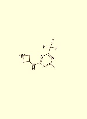 Cc1cc(NC2CNC2)nc(C(F)(F)F)n1